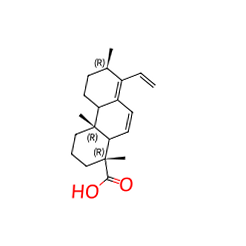 C=CC1=C2C=CC3[C@](C)(CCC[C@@]3(C)C(=O)O)C2CC[C@H]1C